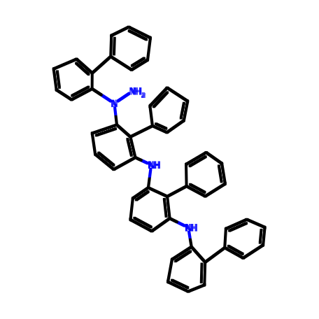 NN(c1ccccc1-c1ccccc1)c1cccc(Nc2cccc(Nc3ccccc3-c3ccccc3)c2-c2ccccc2)c1-c1ccccc1